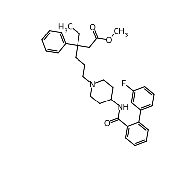 CCC(CCCN1CCC(NC(=O)c2ccccc2-c2cccc(F)c2)CC1)(CC(=O)OC)c1ccccc1